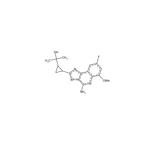 COc1cc(F)cc2c1nc(N)n1nc(C3CC3C(C)(C)O)nc21